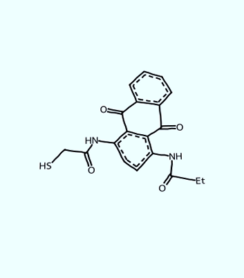 CCC(=O)Nc1ccc(NC(=O)CS)c2c1C(=O)c1ccccc1C2=O